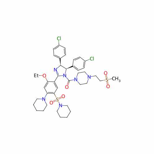 CCOc1cc(N2CCCCC2)c(S(=O)(=O)N2CCCCC2)cc1C1=N[C@@H](c2ccc(Cl)cc2)[C@@H](c2ccc(Cl)cc2)N1C(=O)N1CCN(CCS(C)(=O)=O)CC1